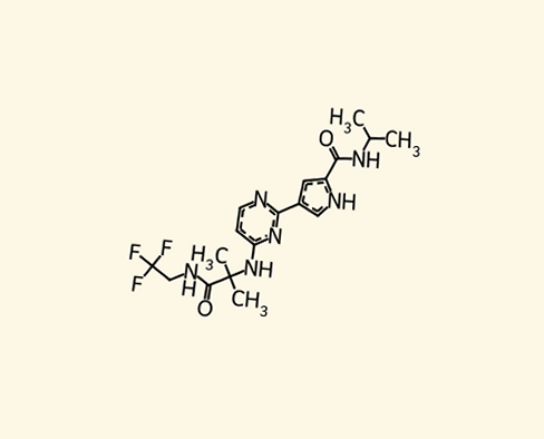 CC(C)NC(=O)c1cc(-c2nccc(NC(C)(C)C(=O)NCC(F)(F)F)n2)c[nH]1